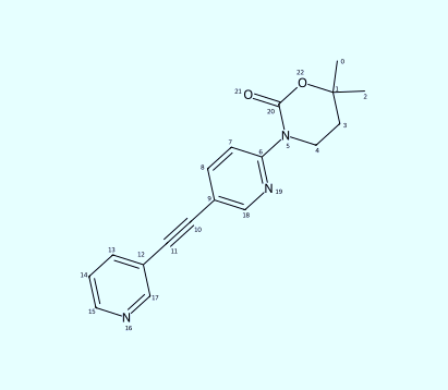 CC1(C)CCN(c2ccc(C#Cc3cccnc3)cn2)C(=O)O1